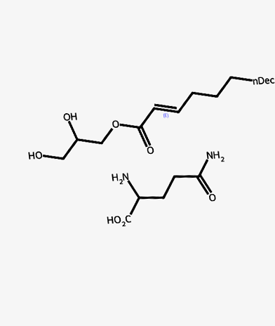 CCCCCCCCCCCCC/C=C/C(=O)OCC(O)CO.NC(=O)CCC(N)C(=O)O